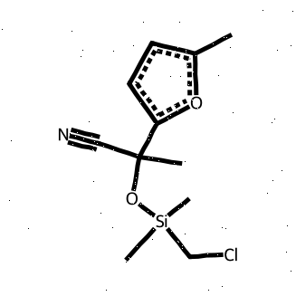 Cc1ccc(C(C)(C#N)O[Si](C)(C)CCl)o1